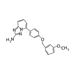 COc1cccc(COc2ccc(-c3cccc4nc(N)nn34)cc2)c1